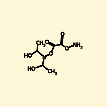 CC(O)N(OC(=O)C(=O)ON)C(C)O